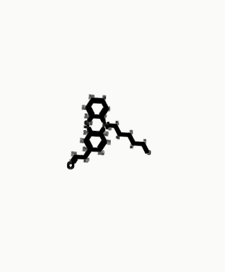 CCCCCCN1c2ccccc2Sc2cc(CC=O)ccc21